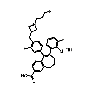 Cc1cccc(C2=C(c3ccc(CC4CN(CCCF)C4)c(F)c3)c3ccc(C(=O)O)cc3CCC2)c1Cl.Cl